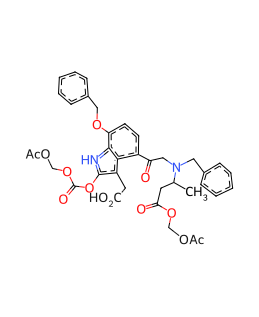 CC(=O)OCOC(=O)CC(C)N(CC(=O)c1ccc(OCc2ccccc2)c2[nH]c(OC(=O)OCOC(C)=O)c(CC(=O)O)c12)Cc1ccccc1